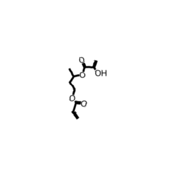 C=CC(=O)OCCC(C)OC(=O)C(=C)O